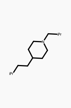 CC(C)CCC1CCN(CC(C)C)CC1